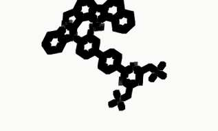 CC(C)(C)c1cc(-c2ccc(-c3nc(C[Si](C)(C)C)nc(CS(C)(C)C)n3)cc2)ccc1-n1c2[n+](c3ccccc31)Cc1ccc3c(oc4c5ccccc5ccc34)c1-2